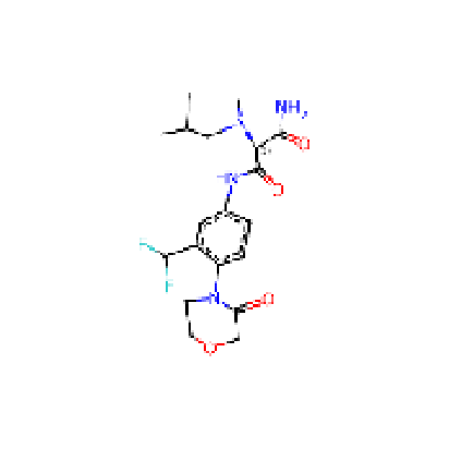 CC(C)CN(C)[C@@H](C(N)=O)C(=O)Nc1ccc(N2CCOCC2=O)c(C(F)F)c1